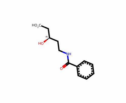 O=C(O)C[C@H](O)CCNC(=O)c1ccccc1